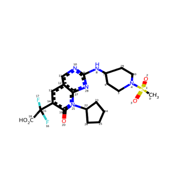 CS(=O)(=O)N1CCC(Nc2ncc3cc(C(F)(F)C(=O)O)c(=O)n(C4CCCC4)c3n2)CC1